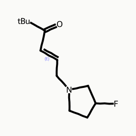 CC(C)(C)C(=O)/C=C/CN1CCC(F)C1